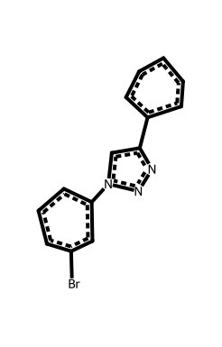 Brc1cccc(-n2cc(-c3ccccc3)nn2)c1